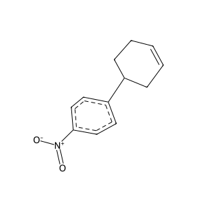 O=[N+]([O-])c1ccc(C2CC=CCC2)cc1